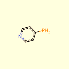 Pc1ccncc1